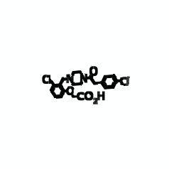 O=C(O)COc1cccc(Cl)c1CN1CCN(C(=O)Cc2ccc(Cl)cc2)CC1